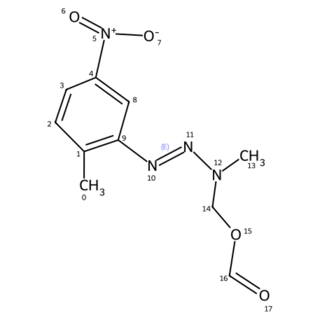 Cc1ccc([N+](=O)[O-])cc1/N=N/N(C)COC=O